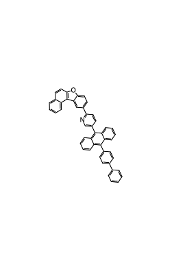 c1ccc(-c2ccc(-c3c4ccccc4c(-c4ccc(-c5ccc6oc7ccc8ccccc8c7c6c5)nc4)c4ccccc34)cc2)cc1